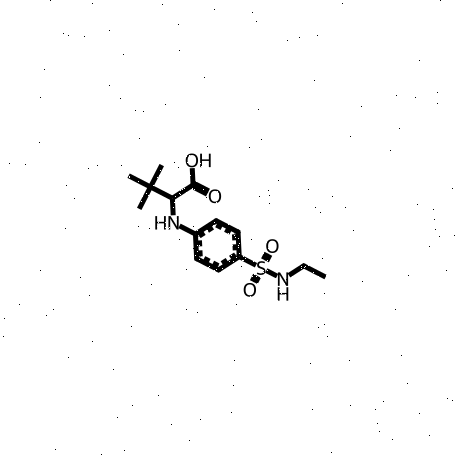 CCNS(=O)(=O)c1ccc(NC(C(=O)O)C(C)(C)C)cc1